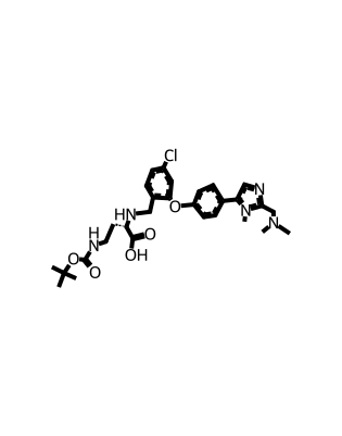 CN(C)Cc1ncc(-c2ccc(Oc3cc(Cl)ccc3CN[C@@H](CCNC(=O)OC(C)(C)C)C(=O)O)cc2)n1C